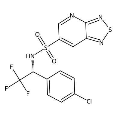 O=S(=O)(N[C@H](c1ccc(Cl)cc1)C(F)(F)F)c1cnc2nsnc2c1